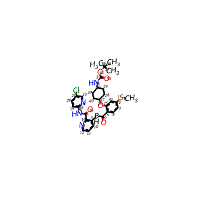 CSc1ccc(C(=O)Bc2cccnc2C(=O)Nc2ccc(Cl)cn2)c(OC2CCC(NC(=O)OC(C)(C)C)CC2)c1